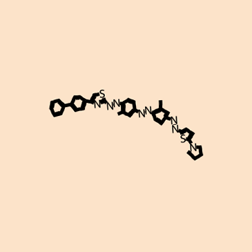 Cc1cc(/N=N/c2ccc(N3CCCC3)s2)ccc1/N=N/c1ccc(/N=N/c2nc(-c3ccc(-c4ccccc4)cc3)cs2)c(C)c1